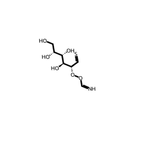 N=COO[C@@H](C=S)[C@@H](O)[C@@H](O)[C@H](O)CO